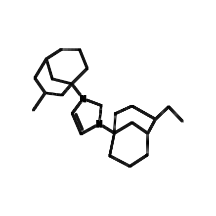 CCC1CCC2(N3C=CN(C45CCCC(CC(C)C4)C5)C3)CCCC1C2